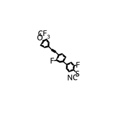 N#CSc1ccc(-c2ccc(C#Cc3ccc(OC(F)(F)F)cc3)c(F)c2)cc1F